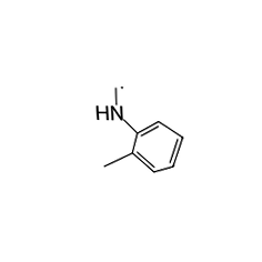 [CH2]Nc1ccccc1C